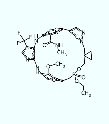 CCOP1(=O)Cc2ccc(c(OC)c2)Nc2ncc(C(F)(F)F)c(n2)Nc2ccc(nc2C(=O)NC)-c2cnn(c2)CC2(CC2)CO1